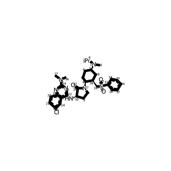 CC(C)N(C)[C@@H]1CC[C@H](N2CC[C@H](Nc3nc(N(C)C)nc4ccc(Cl)cc34)C2=O)[C@H](CS(=O)(=O)c2ccccc2)C1